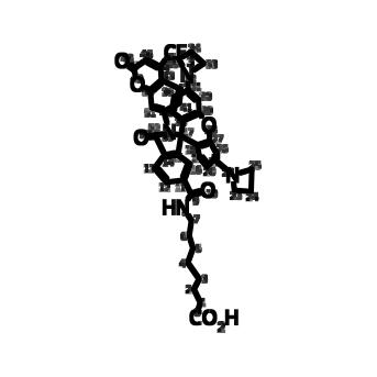 O=C(O)CCCCCCCNC(=O)c1ccc2c(c1)C1(c3ccc(N4CCC4)cc3Oc3cc(N4CCC4)ccc31)N(c1ccc3c(C(F)(F)F)cc(=O)oc3c1)C2=O